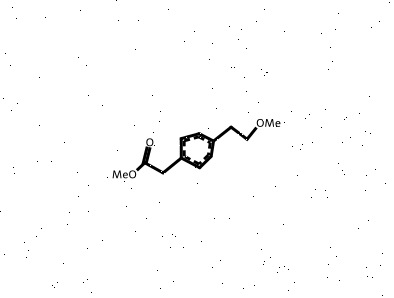 COCCc1ccc(CC(=O)OC)cc1